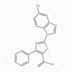 C=C(O)c1sc(-n2cnc3cc(O)ccc32)nc1-c1ccccc1